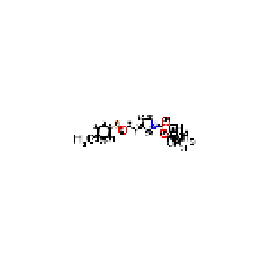 Cc1ccc(SOCCC2CCN(C(=O)OC(C)(C)C)C2)cc1